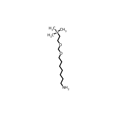 C[Si](C)(C)CCOCOCCCCCCCN